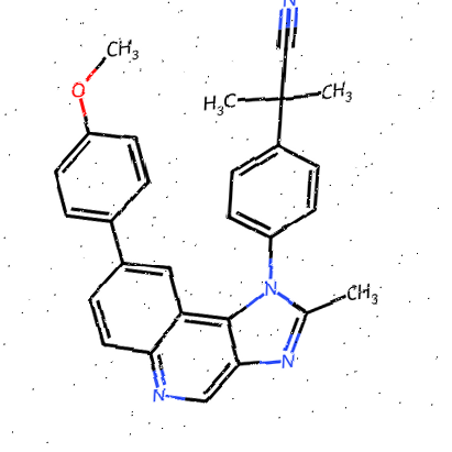 COc1ccc(-c2ccc3ncc4nc(C)n(-c5ccc(C(C)(C)C#N)cc5)c4c3c2)cc1